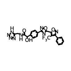 O=C(NCc1nnn[nH]1)C(O)c1ccc(-c2noc(-c3onc(-c4ccccc4)c3C(F)(F)F)n2)cc1